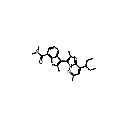 CCC(CC)c1cc(C)nn2c(-c3c(C)sc4c(C(=O)N(C)C)cccc34)c(C)nc12